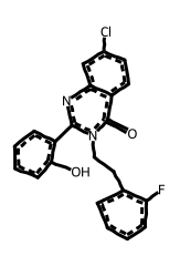 O=c1c2ccc(Cl)cc2nc(-c2ccccc2O)n1CCc1ccccc1F